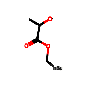 CCCCCOC(=O)C(C)[O]